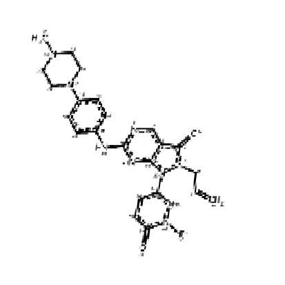 C=CCn1c(=O)c2cnc(Nc3ccc(N4CCN(C)CC4)cc3)nc2n1-c1ccc(=O)n(C(C)C)n1